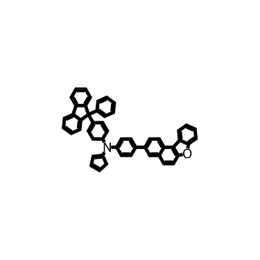 C1=CCC(N(c2ccc(-c3ccc4c(ccc5oc6ccccc6c54)c3)cc2)C2C=CC(C3(c4ccccc4)c4ccccc4-c4ccccc43)=CC2)=C1